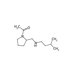 CC(=O)N1CCCC1CNCCC(C)C